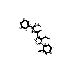 CCc1c(/C(C)=N/C(=N\C)c2ccccc2)nnn1-c1ccccc1F